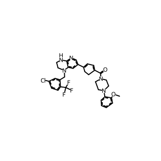 COc1ccccc1N1CCN(C(=O)C2=CC=C(c3cnc4c(c3)N(Cc3cc(Cl)ccc3C(F)(F)F)CCN4)CC2)CC1